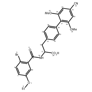 CCOc1ccc(Br)c(C(=O)NC(Cc2ccc(-c3c(OC)cc(C#N)cc3OC)cc2)C(=O)O)c1